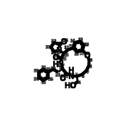 O=C1N[C@H](CO)CCCCOc2cccc(c2)C[C@H](N2CCCC2=O)C(=O)N[C@H]1CCc1ccccc1